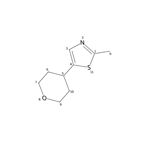 Cc1ncc(C2CCOCC2)s1